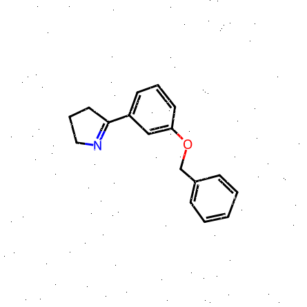 c1ccc(COc2cccc(C3=NCCC3)c2)cc1